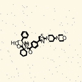 O=C(NC1(C(=O)N[C@H](CO)c2ccccc2)CCCCC1)c1ccc(-c2csc(N3CCC(N4CCOCC4)CC3)n2)cc1